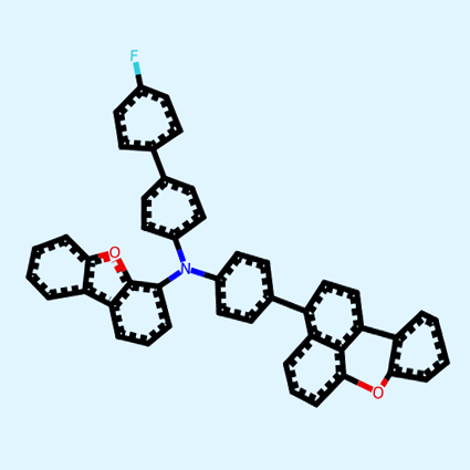 Fc1ccc(-c2ccc(N(c3ccc(-c4ccc5c6c(cccc46)Oc4ccccc4-5)cc3)c3cccc4c3oc3ccccc34)cc2)cc1